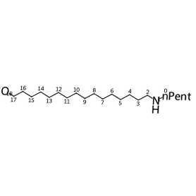 CCCCCNCCCCCCCCCCCCCCCCO